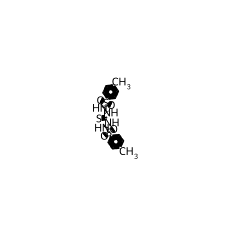 Cc1ccc(S(=O)(=O)NNC(=S)NNS(=O)(=O)c2ccc(C)cc2)cc1